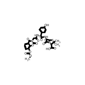 COC(=O)Oc1cccc2c(=O)n(CC(=O)N[C@@H](C(=O)N[C@@H]3C(=O)N4C3SC(C)(C)C4C(=O)O)c3ccc(O)cc3)c(=O)oc12